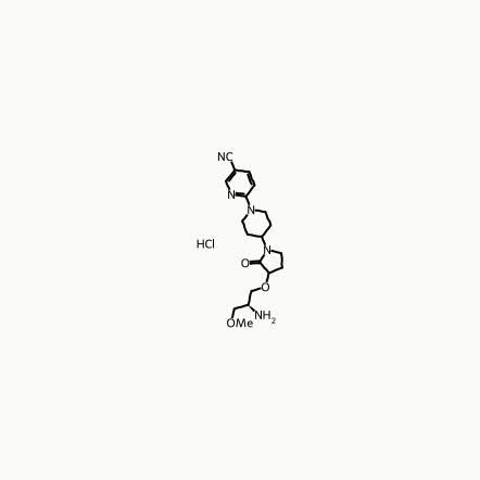 COC[C@H](N)COC1CCN(C2CCN(c3ccc(C#N)cn3)CC2)C1=O.Cl